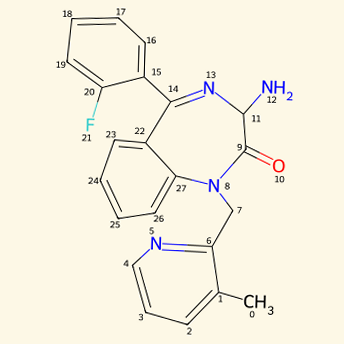 Cc1cccnc1CN1C(=O)C(N)N=C(c2ccccc2F)c2ccccc21